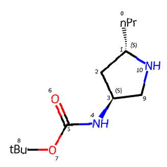 CCC[C@H]1C[C@H](NC(=O)OC(C)(C)C)CN1